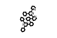 c1ccc(-c2cc(-c3ccccn3)nc(-c3ncccc3-c3ccccc3-c3ccccc3-c3cc(-c4ccccc4)nc(-c4ccccc4)n3)c2)cc1